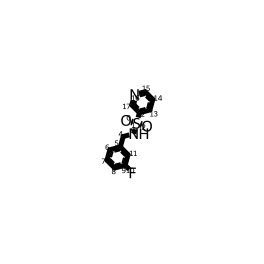 O=S(=O)(NCc1cccc(F)c1)c1cccnc1